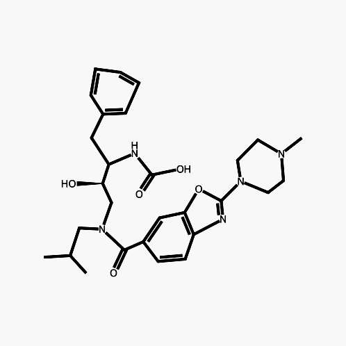 CC(C)CN(C[C@@H](O)C(Cc1ccccc1)NC(=O)O)C(=O)c1ccc2nc(N3CCN(C)CC3)oc2c1